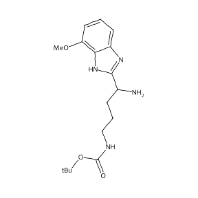 COc1cccc2nc(C(N)CCCNC(=O)OC(C)(C)C)[nH]c12